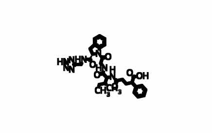 CCC(C)C(NC(=O)CCC(C(=O)O)c1ccccc1)C(=O)NCC(=O)N1c2ccccc2C[C@H]1C(=O)NCc1nn[nH]n1